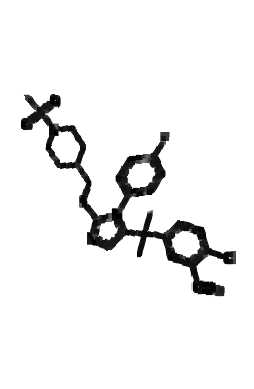 COc1cc(C(C)(C)c2cnc(SCC3CCN(S(C)(=O)=O)CC3)n2-c2ccc(F)cc2)ccc1Cl